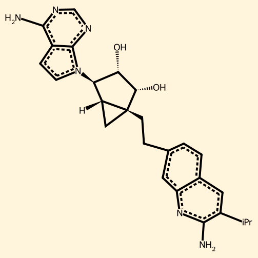 CC(C)c1cc2ccc(CC[C@@]34C[C@@H]3[C@@H](n3ccc5c(N)ncnc53)[C@H](O)[C@@H]4O)cc2nc1N